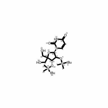 CC(C)(C)[Si](C)(C)OC1[C@H](n2ccc(=O)[nH]c2=O)OC(CO)(CO)[C@H]1O[Si](C)(C)C(C)(C)C